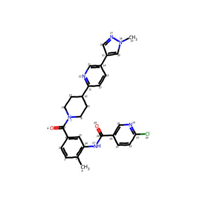 Cc1ccc(C(=O)N2CCC(c3ccc(-c4cnn(C)c4)cn3)CC2)cc1NC(=O)c1ccc(Cl)nc1